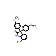 O=C1Nc2c(C(F)(F)F)cccc2C1(c1ccc(OC(F)(F)F)cc1)c1ccc(OC(F)(F)F)cc1